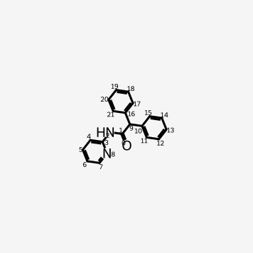 O=C(Nc1ccccn1)C(c1ccccc1)c1ccccc1